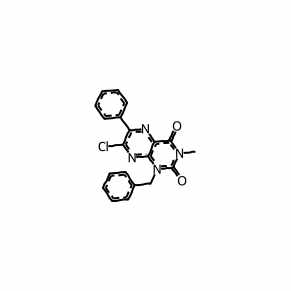 Cn1c(=O)c2nc(-c3ccccc3)c(Cl)nc2n(Cc2ccccc2)c1=O